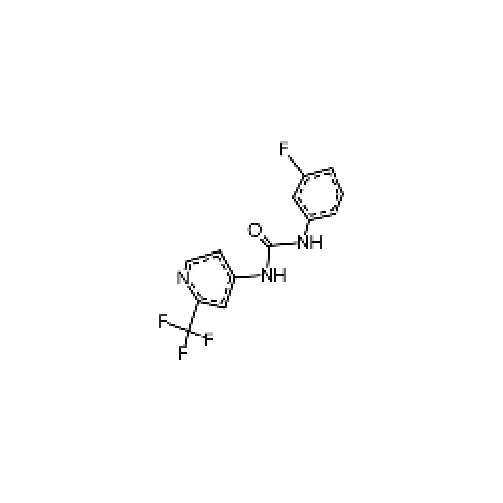 O=C(Nc1cccc(F)c1)Nc1ccnc(C(F)(F)F)c1